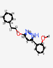 COc1ccccc1-c1cc(OCCc2ccccc2)n[nH]1